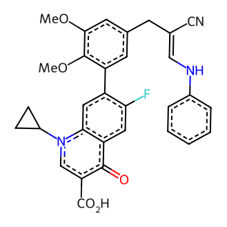 COc1cc(CC(C#N)=CNc2ccccc2)cc(-c2cc3c(cc2F)c(=O)c(C(=O)O)cn3C2CC2)c1OC